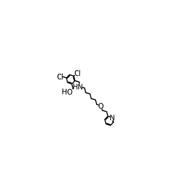 OCc1cc(Cl)cc(Cl)c1CNCCCCCCOCCc1ccccn1